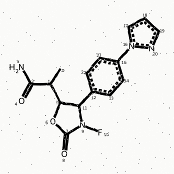 CC(C(N)=O)C1OC(=O)N(F)C1c1ccc(-n2cccn2)cc1